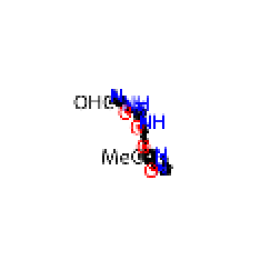 COc1cc2c(cc1OCCCC(=O)Nc1cc(C(=O)Nc3cc(C=O)n(C)c3)n(C)c1)N=CC1CCCN1C2=O